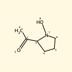 [CH2]C(=O)C1CCCN1O